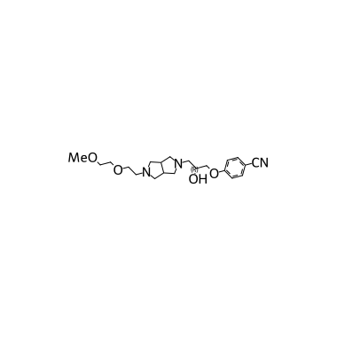 COCCOCCN1CC2CN(C[C@@H](O)COc3ccc(C#N)cc3)CC2C1